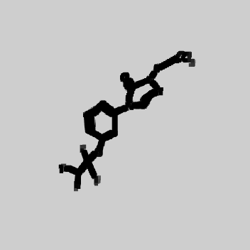 O=c1n(-c2cccc(OC(F)(F)C(F)F)c2)cnn1SC(Cl)(Cl)Cl